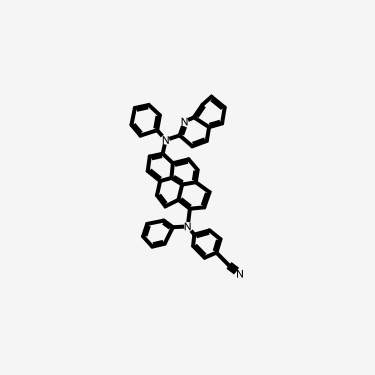 N#Cc1ccc(N(c2ccccc2)c2ccc3ccc4c(N(c5ccccc5)c5ccc6ccccc6n5)ccc5ccc2c3c54)cc1